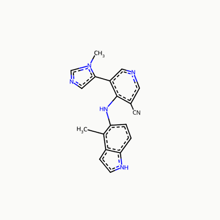 Cc1c(Nc2c(C#N)cncc2-c2cncn2C)ccc2[nH]ccc12